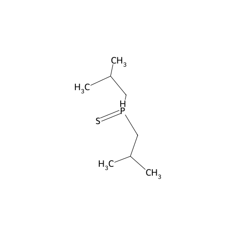 CC(C)C[PH](=S)CC(C)C